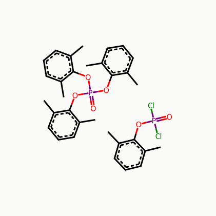 Cc1cccc(C)c1OP(=O)(Cl)Cl.Cc1cccc(C)c1OP(=O)(Oc1c(C)cccc1C)Oc1c(C)cccc1C